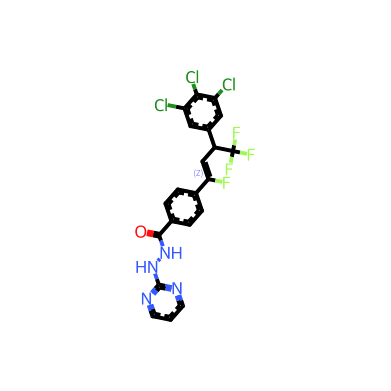 O=C(NNc1ncccn1)c1ccc(/C(F)=C/C(c2cc(Cl)c(Cl)c(Cl)c2)C(F)(F)F)cc1